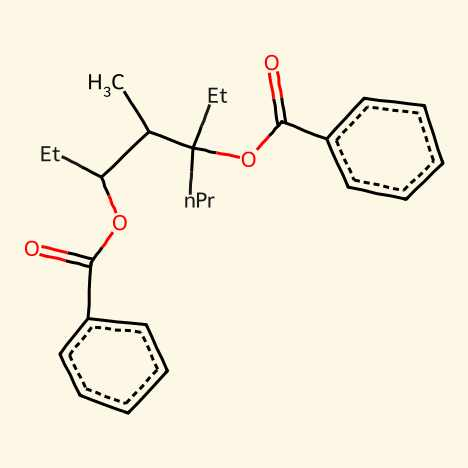 CCCC(CC)(OC(=O)c1ccccc1)C(C)C(CC)OC(=O)c1ccccc1